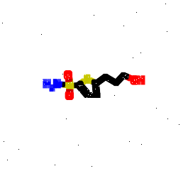 NS(=O)(=O)c1ccc(CCCO)s1